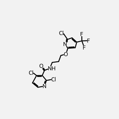 O=C(NCCCOc1cc(C(F)(F)F)cc(Cl)n1)c1c(Cl)ccnc1Cl